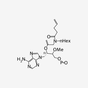 C=CCCC(=O)N(CCCCCC)CC(=C)O[C@@H](Cn1cnc2c(N)ncnc21)C(COP=O)OC